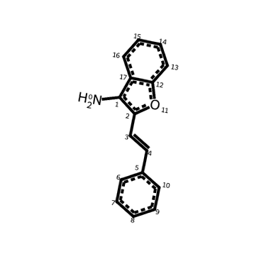 Nc1c(C=Cc2ccccc2)oc2ccccc12